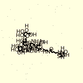 CC(=O)NC1C(OC2C(CO)OC(OCCCNC(=O)CCCC[C@@H]3SC[C@@H]4NC(=O)N[C@@H]43)C(NC(C)=O)C2O)OC(CO)C(OC2OC(COC3OC(CO)C(O)C(O)C3O)C(O)C(OC3OC(CO)C(O)C(O)C3O)C2O)C1O